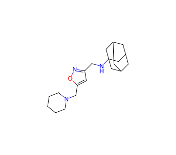 c1c(CNC23CC4CC(CC(C4)C2)C3)noc1CN1CCCCC1